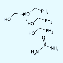 NC(N)=O.OCP.OCP.OCP.OCP